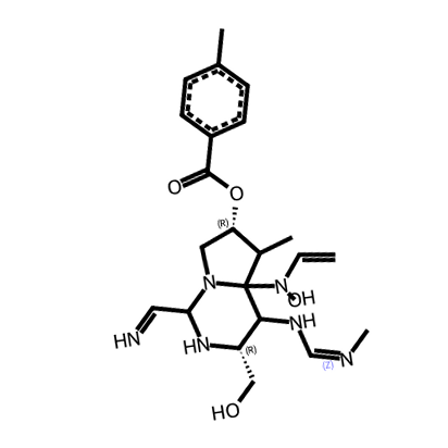 C=CN(O)C12C(N/C=N\C)[C@H](CO)NC(C=N)N1C[C@H](OC(=O)c1ccc(C)cc1)C2C